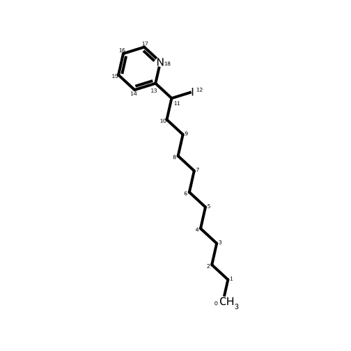 CCCCCCCCCCCC(I)c1ccccn1